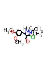 COc1ccc(-c2nn(C(C)(C)C)c(Cl)c2C=O)cc1OC